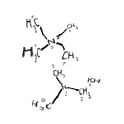 CN(C)C.C[N+](C)(C)C.[KH]